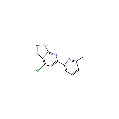 Cc1cccc(-c2cc(Cl)c3cc[nH]c3n2)n1